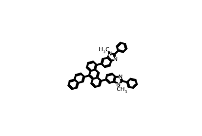 Cn1c(-c2ccccc2)nc2ccc(-c3cccc4c(-c5ccc6ccccc6c5)c5cccc(-c6ccc7nc(-c8ccccc8)n(C)c7c6)c5cc34)cc21